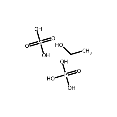 CCO.O=P(O)(O)O.O=S(=O)(O)O